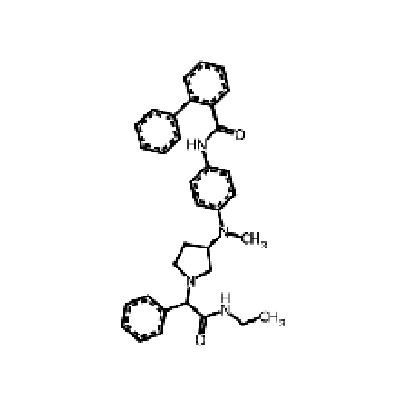 CCNC(=O)C(c1ccccc1)N1CCC(N(C)c2ccc(NC(=O)c3ccccc3-c3ccccc3)cc2)C1